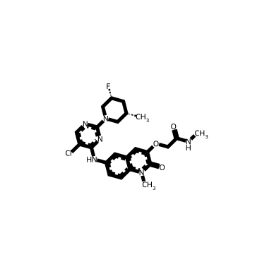 CNC(=O)COc1cc2cc(Nc3nc(N4C[C@@H](C)C[C@@H](F)C4)ncc3Cl)ccc2n(C)c1=O